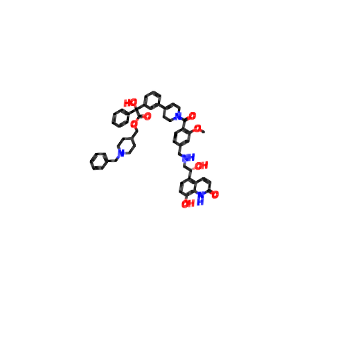 COc1cc(CNC[C@H](O)c2ccc(O)c3[nH]c(=O)ccc23)ccc1C(=O)N1CC=C(c2cccc(C(O)(C(=O)OCC3CCN(Cc4ccccc4)CC3)c3ccccc3)c2)CC1